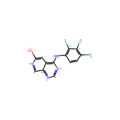 Oc1cc2c(Nc3ccc(Cl)c(Cl)c3F)ncnc2cn1